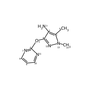 Cc1c(N)c(Oc2ncccn2)nn1C